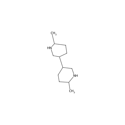 CC1CCC(C2CCC(C)NC2)CN1